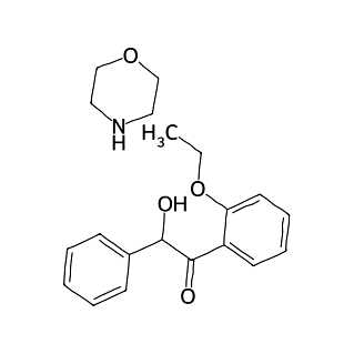 C1COCCN1.CCOc1ccccc1C(=O)C(O)c1ccccc1